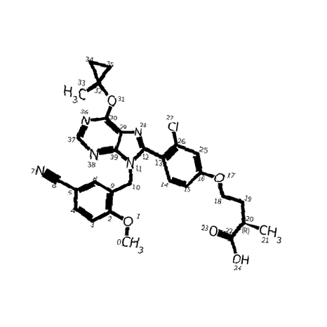 COc1ccc(C#N)cc1Cn1c(-c2ccc(OCC[C@@H](C)C(=O)O)cc2Cl)nc2c(OC3(C)CC3)ncnc21